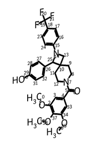 COc1cc(C(=O)N2CCC3(CC2)CN(c2ccc(C(F)(F)F)cc2)C3c2ccc(O)cc2)cc(OC)c1OC